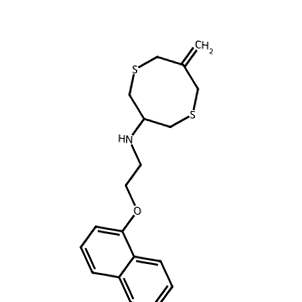 C=C1CSCC(NCCOc2cccc3ccccc23)CSC1